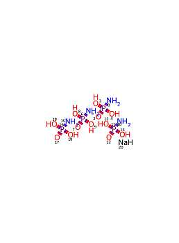 NP(=O)(O)O.NP(=O)(O)O.NP(=O)(O)O.NP(=O)(O)O.[NaH]